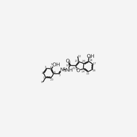 Cc1ccc(O)c(/C=N/NC(=O)c2oc3cccc(O)c3c2C)c1